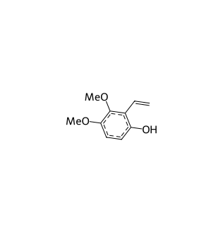 C=Cc1c(O)ccc(OC)c1OC